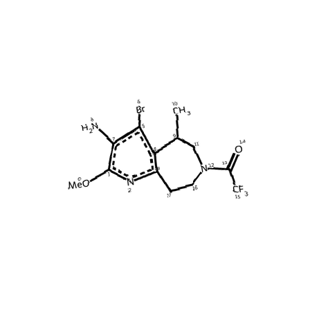 COc1nc2c(c(Br)c1N)C(C)CN(C(=O)C(F)(F)F)CC2